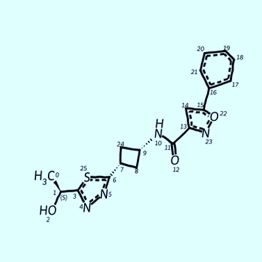 C[C@H](O)c1nnc([C@H]2C[C@@H](NC(=O)c3cc(-c4ccccc4)on3)C2)s1